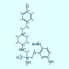 CC(=O)Nc1ccc(O)cc1OCC(C)(O)CNC1CCN(CCc2ccc(Cl)cc2)CC1